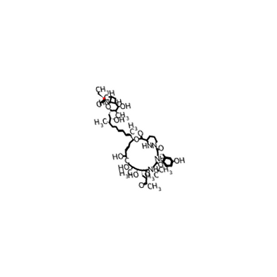 CC[C@H]1C[C@@H]2C[C@H]3[C@@H](O)[C@@H](C)[C@H](C[C@H](O)[C@@H](C)CC/C=C/C=C(\C)[C@@H]4C/C=C/C(O)C[C@H](O)[C@H](C)[C@@H](O)[C@@H](CCC(C)=O)C(=O)N[C@@H](C(C)C)C(=O)N[C@@H](Cc5cccc(O)c5)C(=O)N5CCCC(N5)C(=O)O4)O[C@]23NC1=O